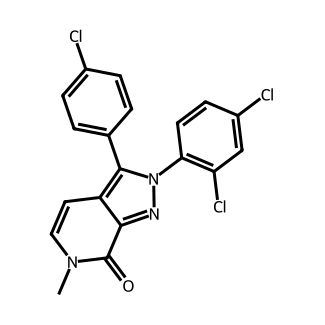 Cn1ccc2c(-c3ccc(Cl)cc3)n(-c3ccc(Cl)cc3Cl)nc2c1=O